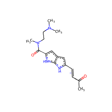 CC(=O)/C=C/c1cc2cc(C(=O)N(C)CCN(C)C)[nH]c2[nH]1